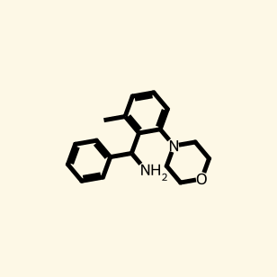 Cc1cccc(N2CCOCC2)c1C(N)c1ccccc1